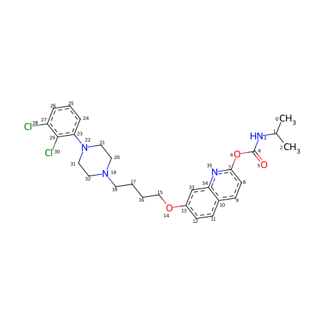 CC(C)NC(=O)Oc1ccc2ccc(OCCCCN3CCN(c4cccc(Cl)c4Cl)CC3)cc2n1